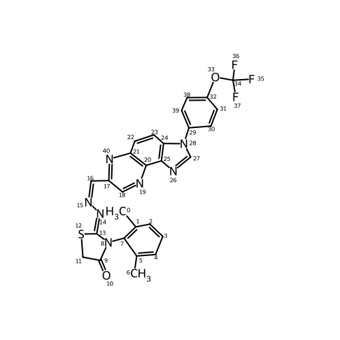 Cc1cccc(C)c1N1C(=O)CS/C1=N\N=C/c1cnc2c(ccc3c2ncn3-c2ccc(OC(F)(F)F)cc2)n1